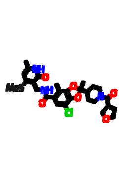 CSc1cc(C)[nH]c(=O)c1CNC(=O)c1cc(Cl)c2c(c1C)OC(C)(C1CCN(C(=O)C3CCOC3)CC1)O2